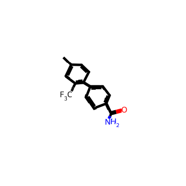 Cc1ccc(-c2ccc(C(N)=O)cc2)c(C(F)(F)F)c1